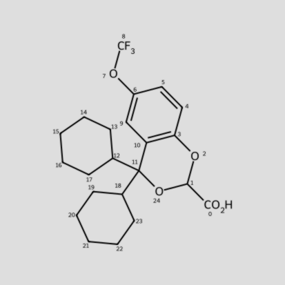 O=C(O)C1Oc2ccc(OC(F)(F)F)cc2C(C2CCCCC2)(C2CCCCC2)O1